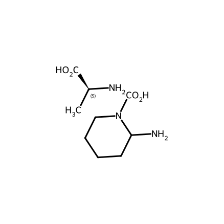 C[C@H](N)C(=O)O.NC1CCCCN1C(=O)O